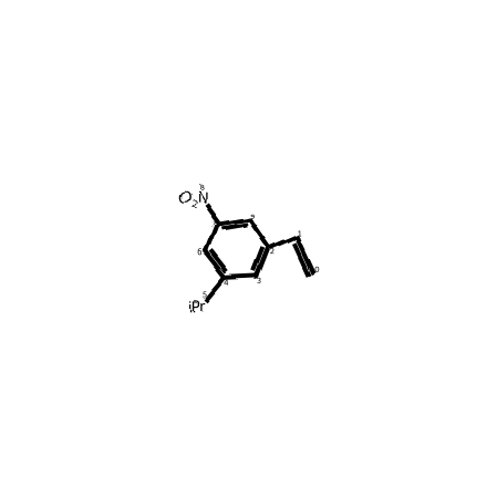 C=[C]c1cc(C(C)C)cc([N+](=O)[O-])c1